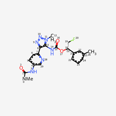 CNC(=O)Nc1ccc(-c2nnn(C)c2NC(=O)O[C@H](CF)c2cccc(C)c2)nc1